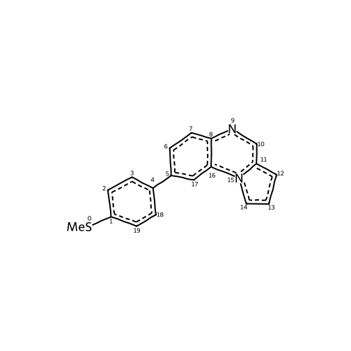 CSc1ccc(-c2ccc3ncc4cccn4c3c2)cc1